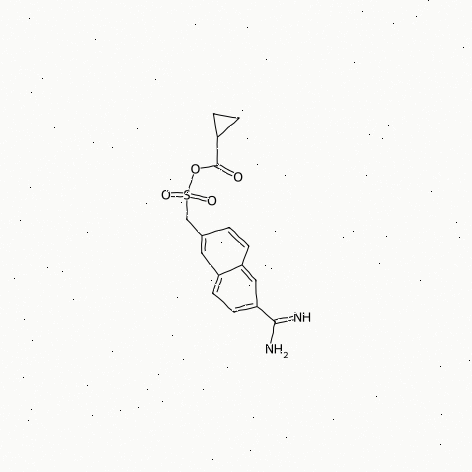 N=C(N)c1ccc2cc(CS(=O)(=O)OC(=O)C3CC3)ccc2c1